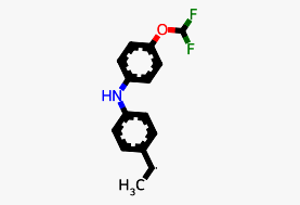 C[CH]c1ccc(Nc2ccc(OC(F)F)cc2)cc1